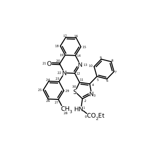 CCOC(=O)Nc1nc(-c2ccccc2)c(-c2nc3ccccc3c(=O)n2-c2cccc(C)c2)s1